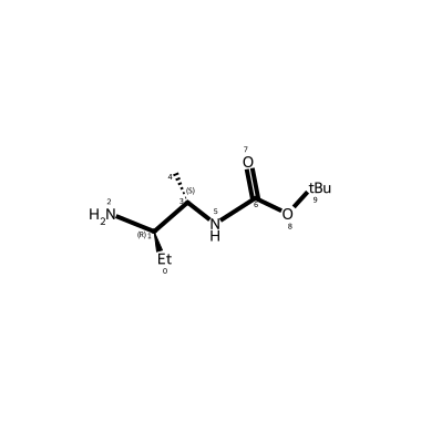 CC[C@@H](N)[C@H](C)NC(=O)OC(C)(C)C